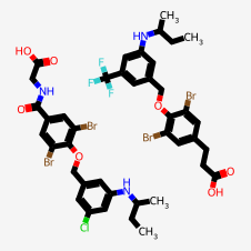 CCC(C)Nc1cc(COc2c(Br)cc(CCC(=O)O)cc2Br)cc(C(F)(F)F)c1.CCC(C)Nc1cc(Cl)cc(COc2c(Br)cc(C(=O)NCC(=O)O)cc2Br)c1